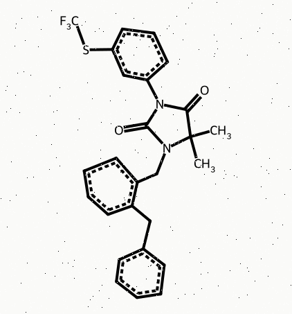 CC1(C)C(=O)N(c2cccc(SC(F)(F)F)c2)C(=O)N1Cc1ccccc1Cc1ccccc1